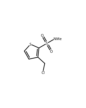 CNS(=O)(=O)c1sccc1CCl